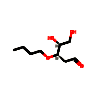 CCCCO[C@@H](CC=O)[C@H](O)CO